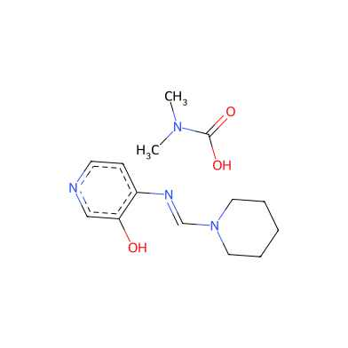 CN(C)C(=O)O.Oc1cnccc1N=CN1CCCCC1